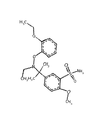 CCOc1ccccc1ON(CC)C(C)(C)c1ccc(OC)c(S(N)(=O)=O)c1